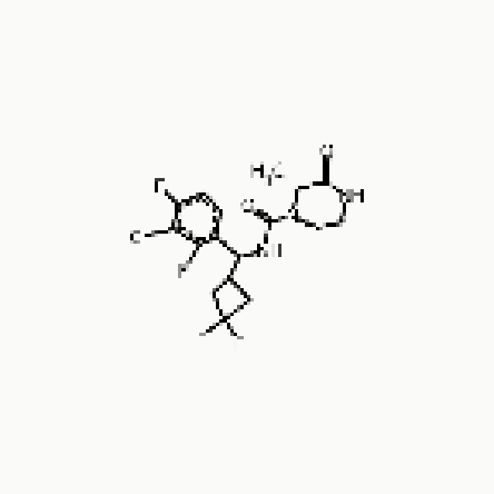 C[C@@H]1C(=O)NCCN1C(=O)N[C@H](c1ccc(F)c(Cl)c1F)C1CC(F)(F)C1